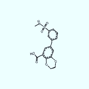 CNS(=O)(=O)c1cccc(-c2cc3c(c(C(=O)O)c2)OCCO3)c1